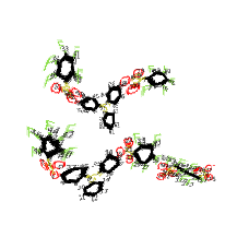 O=S(=O)(Oc1ccc([S+](c2ccccc2)c2ccc(OS(=O)(=O)c3c(F)c(F)c(F)c(F)c3F)cc2)cc1)c1c(F)c(F)c(F)c(F)c1F.O=S(=O)(Oc1ccc([S+](c2ccccc2)c2ccc(OS(=O)(=O)c3c(F)c(F)c(F)c(F)c3F)cc2)cc1)c1c(F)c(F)c(F)c(F)c1F.O=S(=O)([O-])C(F)(F)C(F)(F)C(F)(F)C(F)(F)S(=O)(=O)[O-]